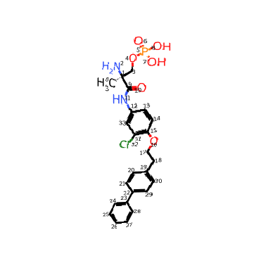 C[C@](N)(COP(=O)(O)O)C(=O)Nc1ccc(OCCc2ccc(-c3ccccc3)cc2)c(Cl)c1